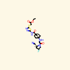 CCOC(=O)CSc1nnc(NC(=O)C23CCC(NCC(=O)N4C[C@@H](F)C[C@H]4C#N)(CC2)CC3)s1